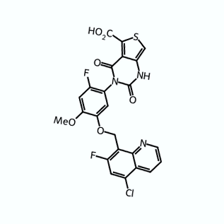 COc1cc(F)c(-n2c(=O)[nH]c3csc(C(=O)O)c3c2=O)cc1OCc1c(F)cc(Cl)c2cccnc12